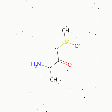 C[C@H](N)C(=O)C[S+](C)[O-]